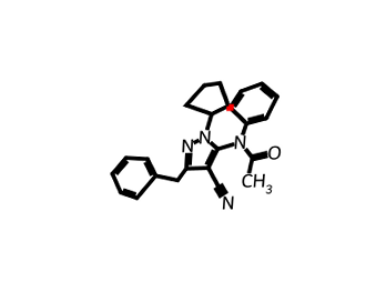 CC(=O)N(c1ccccc1)c1c(C#N)c(Cc2ccccc2)nn1C1CCCC1